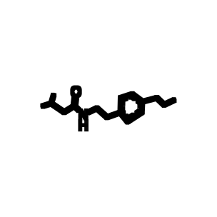 CCCc1ccc(CCNC(=O)CC(C)C)cc1